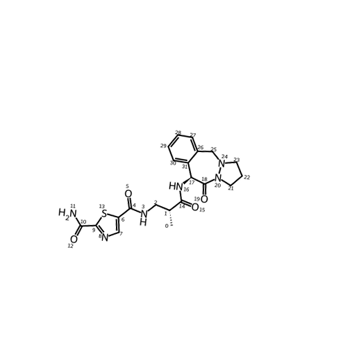 C[C@H](CNC(=O)c1cnc(C(N)=O)s1)C(=O)N[C@@H]1C(=O)N2CCCN2Cc2ccccc21